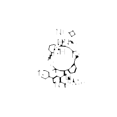 CCn1c(-c2cc(C3CCN(C)CC3)cnc2[C@H](C)OC)c2c3cc(ccc31)-c1csc(n1)C[C@H](NC(=O)[C@@H]1CCC1C#N)C(=O)N1CCC[C@H](N1)C(=O)OCC(C)(C)C2